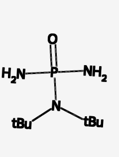 CC(C)(C)N(C(C)(C)C)P(N)(N)=O